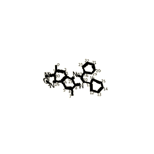 Cc1cc2c(cc(C)c3nc(-c4ccccc4)c(-c4ccccc4)nc32)c2nonc12